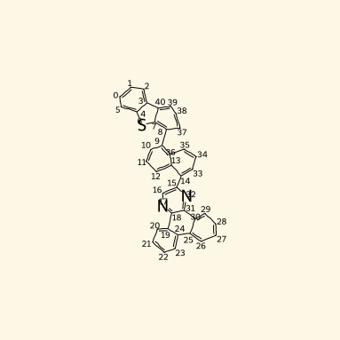 c1ccc2c(c1)sc1c(-c3cccc4c(-c5cnc6c7ccccc7c7ccccc7c6n5)cccc34)cccc12